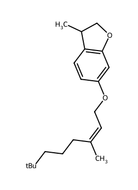 CC(=CCOc1ccc2c(c1)OCC2C)CCCC(C)(C)C